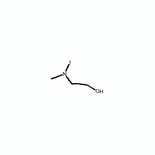 CN(I)CCO